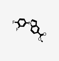 COC(=O)c1ccc2c(ccn2-c2ccc(F)c(F)c2)c1